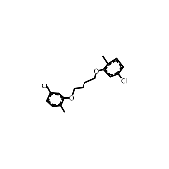 Cc1ccc(Cl)cc1OCCCCOc1cc(Cl)ccc1C